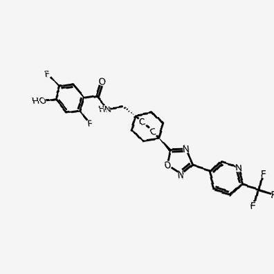 O=C(NC[C@]12CC[C@@](c3nc(-c4ccc(C(F)(F)F)nc4)no3)(CC1)CC2)c1cc(F)c(O)cc1F